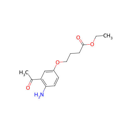 CCOC(=O)CCCOc1ccc(N)c(C(C)=O)c1